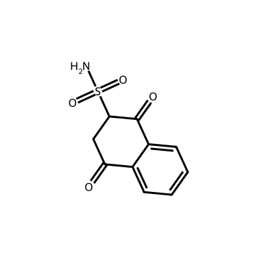 NS(=O)(=O)C1CC(=O)c2ccccc2C1=O